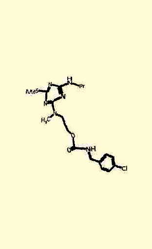 CSc1nc(NC(C)C)nc(N(C)CCOC(=O)NCc2ccc(Cl)cc2)n1